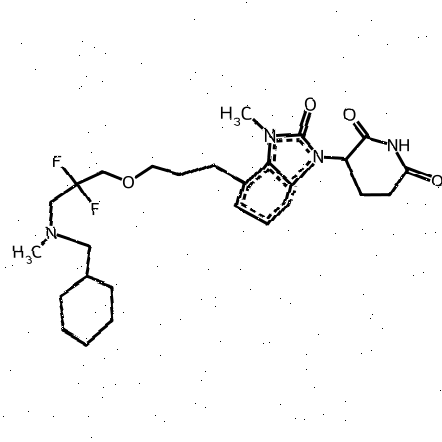 CN(CC1CCCCC1)CC(F)(F)COCCCc1cccc2c1n(C)c(=O)n2C1CCC(=O)NC1=O